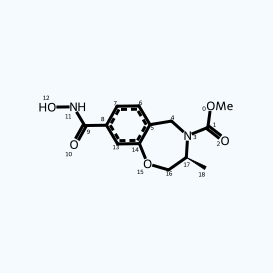 COC(=O)N1Cc2ccc(C(=O)NO)cc2OC[C@@H]1C